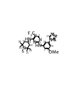 COc1cc(Nc2ncc(C(F)(F)F)c(NC3CC(C)(C)N(C)C(C)(C)C3)n2)cc(-n2cnnn2)c1